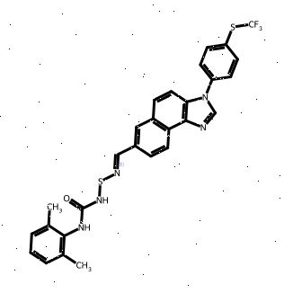 Cc1cccc(C)c1NC(=O)NS/N=C/c1ccc2c(ccc3c2ncn3-c2ccc(SC(F)(F)F)cc2)c1